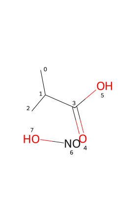 CC(C)C(=O)O.O=NO